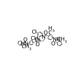 Cc1ccccc1C(=O)Nc1ccc(C(=O)OC2=CCCN(C(=O)c3ccc(NC(=O)c4ccccc4C)cc3C)c3ccc(Cl)cc32)c(C)c1